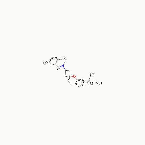 C[C@H](C(=O)O)[C@H](c1ccc2c(c1)OC1(CC2)CC(N(C)[C@@H](C)c2cc(C(F)(F)F)ccc2C(F)(F)F)C1)C1CC1